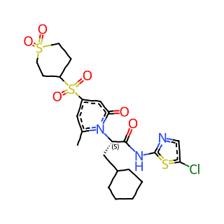 Cc1cc(S(=O)(=O)C2CCS(=O)(=O)CC2)cc(=O)n1[C@@H](CC1CCCCC1)C(=O)Nc1ncc(Cl)s1